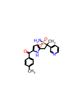 Cc1ccc(C(=O)c2ccc(CC(C)(c3cccnc3)S(N)(=O)=O)[nH]2)cc1